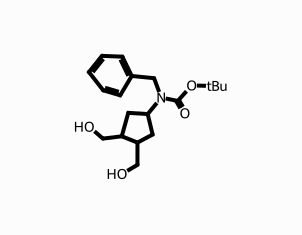 CC(C)(C)OC(=O)N(Cc1ccccc1)C1CC(CO)C(CO)C1